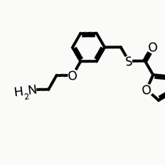 NCCOc1cccc(CSC(=O)c2ccco2)c1